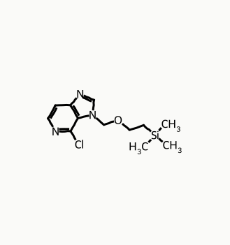 C[Si](C)(C)CCOCn1cnc2ccnc(Cl)c21